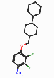 Nc1ccc(OCC2CCC(C3CCCCC3)CC2)c(F)c1F